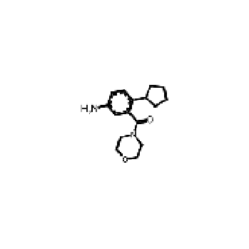 Nc1ccc(C2CCCC2)c(C(=O)N2CCOCC2)c1